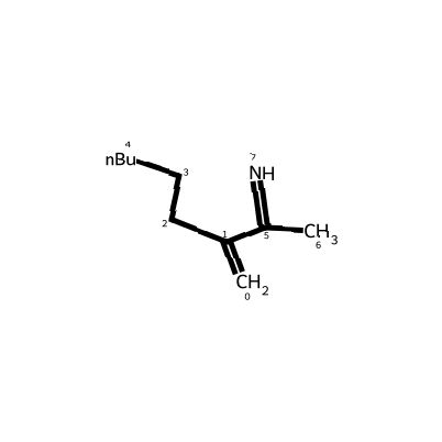 C=C(CCCCCC)C(C)=N